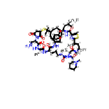 CCCN(C(=O)[C@@H](NC(=O)[C@H]1CCCCN1C)[C@@H](C)CC)[C@H](C[C@@H](OC(C)=O)c1nc(C(=O)N[C@@H](Cc2ccc(NC(=O)[C@H](CCCNC(N)=O)NC(=O)[C@@H](NC(=O)C(CN)N3C(=O)CC(SC(C)(C)C4CCCCCCCC4)C3=O)C(C)C)cc2)C[C@H](C)C(=O)O)cs1)C(C)C